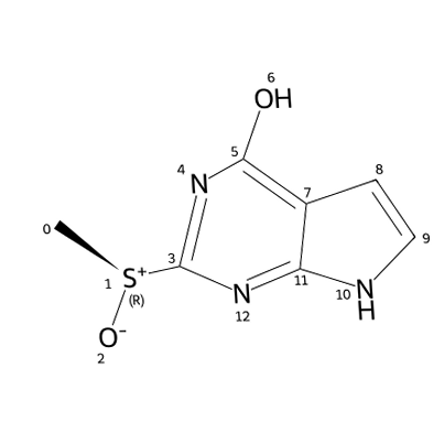 C[S@+]([O-])c1nc(O)c2cc[nH]c2n1